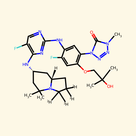 [2H]C1([2H])C[C@H]2C[C@@H](Nc3nc(Nc4cc(-n5nnn(C)c5=O)c(OCC(C)(C)O)cc4F)ncc3F)CC(C)(C)N2C1([2H])[2H]